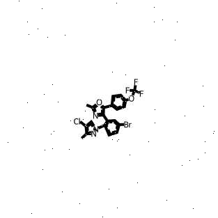 Cc1nc(-c2cc(Br)ccc2-n2cc(Cl)c(C)n2)c(-c2ccc(OC(F)(F)F)cc2)o1